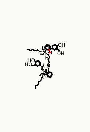 CCCCCCOC(CC)(NCC(O)c1ccc(O)c(CO)c1)c1ccccc1OCCCCCCOc1ccccc1C(CC)(NCC(O)c1ccc(O)c(CO)c1)OCCCCCC